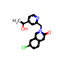 C=C(O)c1ccnc(Cn2cc3cc(Cl)ccc3cc2=O)c1